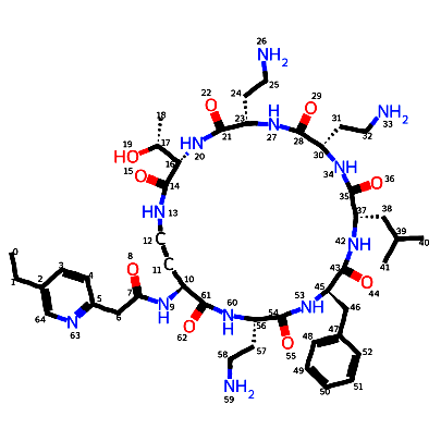 CCc1ccc(CC(=O)N[C@H]2CCNC(=O)[C@H]([C@@H](C)O)NC(=O)[C@H](CCN)NC(=O)[C@H](CCN)NC(=O)[C@H](CC(C)C)NC(=O)[C@@H](Cc3ccccc3)NC(=O)[C@H](CCN)NC2=O)nc1